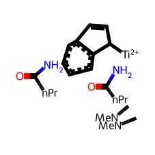 CCCC(N)=O.CCCC(N)=O.C[N-]C.C[N-]C.[Ti+2][CH]1C=Cc2ccccc21